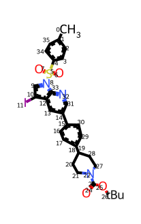 Cc1ccc(S(=O)(=O)n2cc(I)c3cc(-c4ccc(C5CCN(C(=O)OC(C)(C)C)CC5)cc4)cnc32)cc1